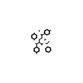 Cc1ccc(C(Nc2ccc(F)cc2)C(CC/C(=N/CO)c2ccc(F)cc2)C(=O)N2C(=O)OC[C@@H]2c2ccccc2)cc1